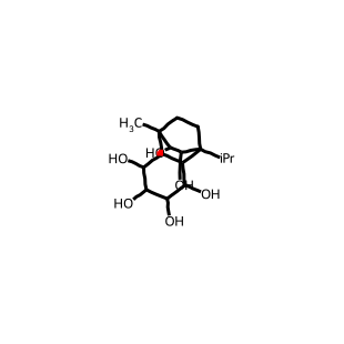 CC(C)C12CCC(C)(C(O)C1O)C1C(O)C(O)C(O)C(O)C12